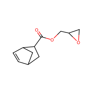 O=C(OCC1CO1)C1CC2C=CC1C2